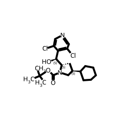 CC(C)(C)OC(=O)N1C[C@H](C2CCCCC2)C[C@H]1[C@@H](O)c1c(Cl)cncc1Cl